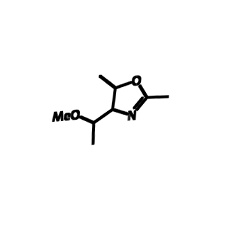 COC(C)C1N=C(C)OC1C